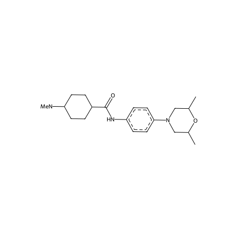 CNC1CCC(C(=O)Nc2ccc(N3CC(C)OC(C)C3)cc2)CC1